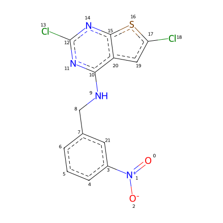 O=[N+]([O-])c1cccc(CNc2nc(Cl)nc3sc(Cl)cc23)c1